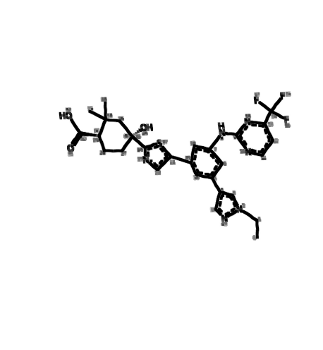 CCn1cc(-c2cc(Nc3nccc(C(F)(F)F)n3)cc(-c3cnc([C@@]4(O)CC[C@@H](C(=O)O)C(C)(C)C4)s3)c2)cn1